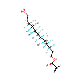 C=C(C)C(=O)OCCC(F)(F)C(F)(F)C(F)(F)C(F)(F)C(F)(F)C(F)(F)C(F)(F)C(F)(F)CCO